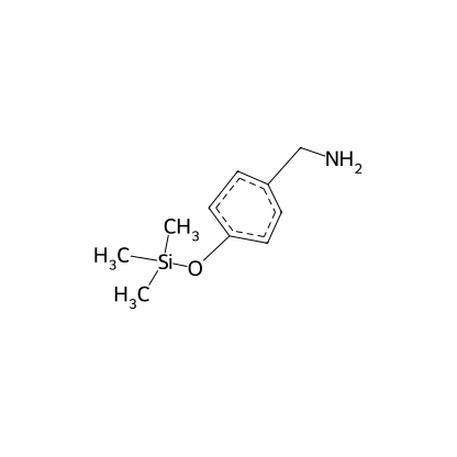 C[Si](C)(C)Oc1ccc(CN)cc1